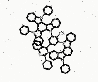 N#Cc1c(-n2c3ccccc3c3ccc4c(c5ccccc5n4-c4ccccc4)c32)cc(-c2nc(C3C=CC=CC3)nc3ccccc23)cc1-n1c2ccccc2c2c3c(c4ccccc4n3-c3ccccc3)c3c(c4ccccc4n3-c3ccccc3)c21